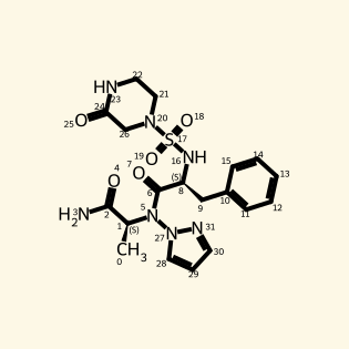 C[C@@H](C(N)=O)N(C(=O)[C@H](Cc1ccccc1)NS(=O)(=O)N1CCNC(=O)C1)n1cccn1